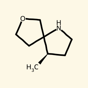 C[C@@H]1CCNC12CCOC2